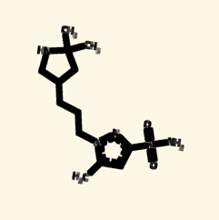 Cc1cc(S(N)(=O)=O)nn1CCCC1CNC(C)(C)C1